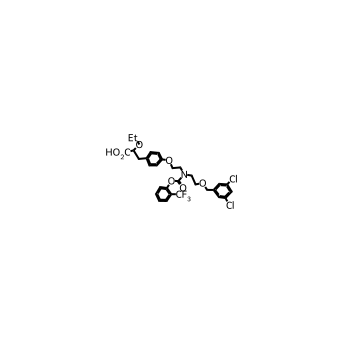 CCOC(Cc1ccc(OCCN(CCOCc2cc(Cl)cc(Cl)c2)C(=O)Oc2ccccc2C(F)(F)F)cc1)C(=O)O